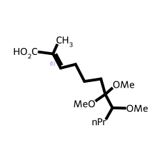 CCCC(OC)C(CCC/C=C(\C)C(=O)O)(OC)OC